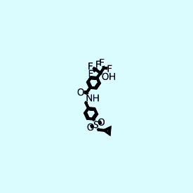 O=C(NCc1ccc(S(=O)(=O)CC2CC2)cc1)c1ccc(C(O)(C(F)F)C(F)(F)F)cc1